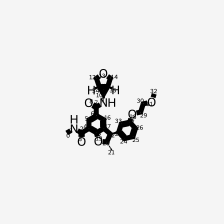 CNC(=O)c1cc(C(=O)N[C@H]2[C@@H]3COC[C@@H]32)cc2c1O[C@@H](C)[C@@H]2c1cccc(OCCOC)c1